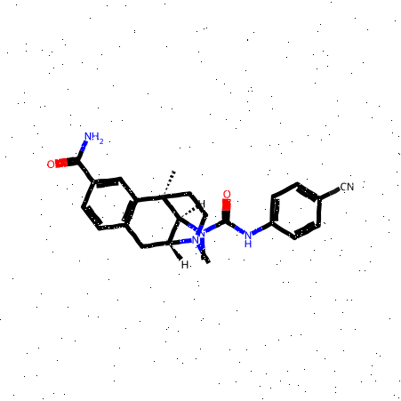 CN1CC[C@]2(C)c3cc(C(N)=O)ccc3C[C@@H]1[C@@H]2N(C)C(=O)Nc1ccc(C#N)cc1